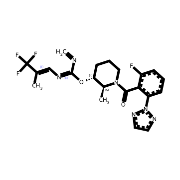 C=N/C(=N\C=C(/C)C(F)(F)F)O[C@@H]1CCCN(C(=O)c2c(F)cccc2-n2nccn2)[C@H]1C